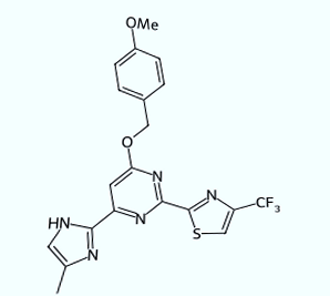 COc1ccc(COc2cc(-c3nc(C)c[nH]3)nc(-c3nc(C(F)(F)F)cs3)n2)cc1